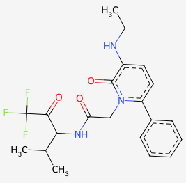 CCNc1ccc(-c2ccccc2)n(CC(=O)NC(C(=O)C(F)(F)F)C(C)C)c1=O